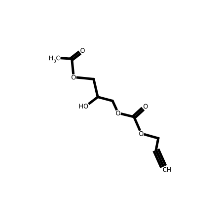 C#CCOC(=O)OCC(O)COC(C)=O